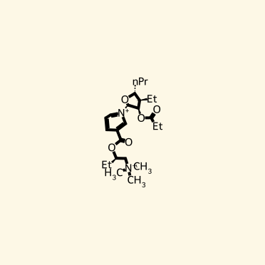 CCC[C@H]1O[C@@H]([n+]2cccc(C(=O)O[C@H](CC)C[N+](C)(C)C)c2)[C@H](OC(=O)CC)[C@@H]1CC